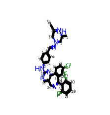 CC1CN(N=Cc2ccc(Nc3ncc4c(n3)-c3ccc(Cl)cc3C(c3c(F)cccc3F)=NC4)cc2)CC(C)N1